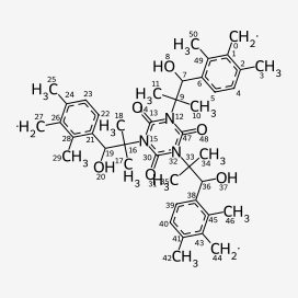 [CH2]c1c(C)ccc(C(O)C(C)(C)n2c(=O)n(C(C)(C)C(O)c3ccc(C)c([CH2])c3C)c(=O)n(C(C)(C)C(O)c3ccc(C)c([CH2])c3C)c2=O)c1C